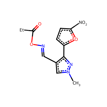 CCC(=O)O/N=C/c1cn(C)nc1-c1ccc([N+](=O)[O-])o1